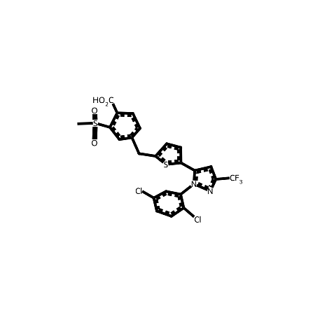 CS(=O)(=O)c1cc(Cc2ccc(-c3cc(C(F)(F)F)nn3-c3cc(Cl)ccc3Cl)s2)ccc1C(=O)O